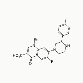 CCn1cc(C(=O)O)c(=O)c2cc(F)c(N3CCNC(c4ccc(C)cc4)C3)cc21